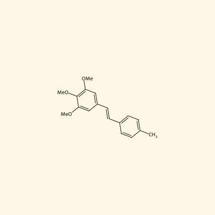 COc1cc(C=Cc2ccc(C)cc2)cc(OC)c1OC